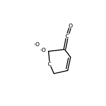 O=C=C1C=CCCC1.[O].[O]